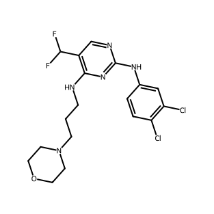 FC(F)c1cnc(Nc2ccc(Cl)c(Cl)c2)nc1NCCCN1CCOCC1